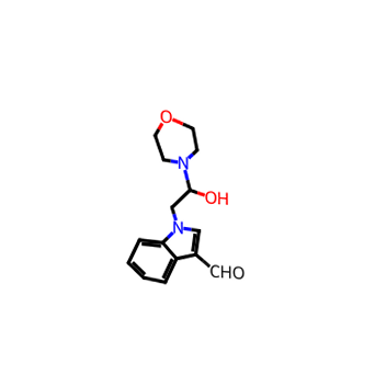 O=Cc1cn(CC(O)N2CCOCC2)c2ccccc12